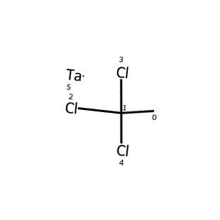 CC(Cl)(Cl)Cl.[Ta]